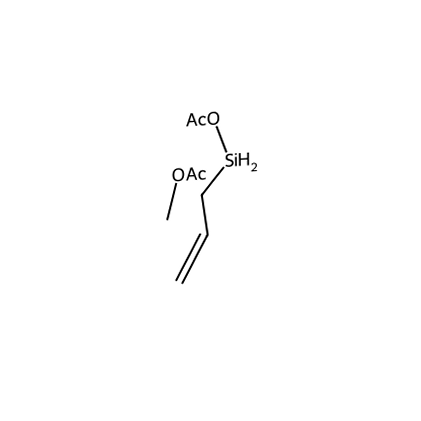 C=CC[SiH2]OC(C)=O.COC(C)=O